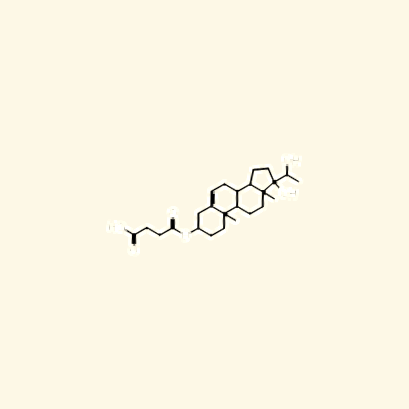 CC(O)C1(O)CCC2C3CC=C4CC(OC(=O)CCC(=O)O)CCC4(C)C3CCC21C